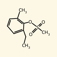 CCc1cccc(C)c1OS(C)(=O)=O